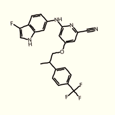 CC(COc1cc(C#N)nc(Nc2ccc3c(F)c[nH]c3c2)c1)c1ccc(C(F)(F)F)cc1